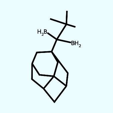 BC(B)(C(C)(C)C)C12CC3CC4CC(C1)C4(C3)C2